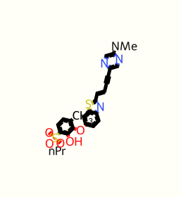 CCCOS(=O)(=O)c1ccc(C)c(Oc2ccc3nc(/C=C/C#Cc4cnc(NC)cn4)sc3c2)c1O